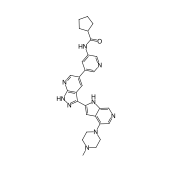 CN1CCN(c2cncc3[nH]c(-c4n[nH]c5ncc(-c6cncc(NC(=O)C7CCCC7)c6)cc45)cc23)CC1